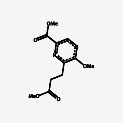 COC(=O)CCc1nc(C(=O)OC)ccc1OC